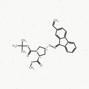 C=Cc1ccc2c(c1)C(=NO[C@@H]1C[C@@H](C(=O)OC)N(C(=O)OC(C)(C)C)C1)c1ccccc1-2